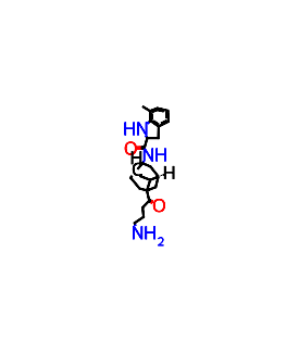 Cc1cccc2c1NC(C(=O)N[C@H]1CCCC3(C(=O)CCCN)C[C@H](C1)C3C)C2